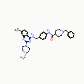 Cc1ccc2c(NCc3ccc(NC(=O)C4CCN(Cc5ccccc5)CC4)cc3)nc(N3CCN(C)CC3)nc2c1